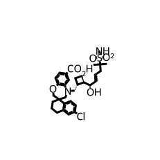 CC(C)(C/C=C/[C@H](O)[C@@H]1CC[C@H]1CN1CC2(CCCc3cc(Cl)ccc32)COc2ccc(C(=O)O)cc21)S(N)(=O)=O